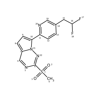 CS(=O)(=O)c1ncc2ccc(-c3ccc(CC(F)F)cn3)n2n1